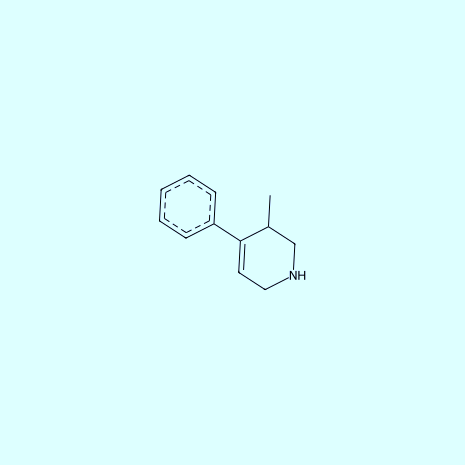 CC1CNCC=C1c1ccccc1